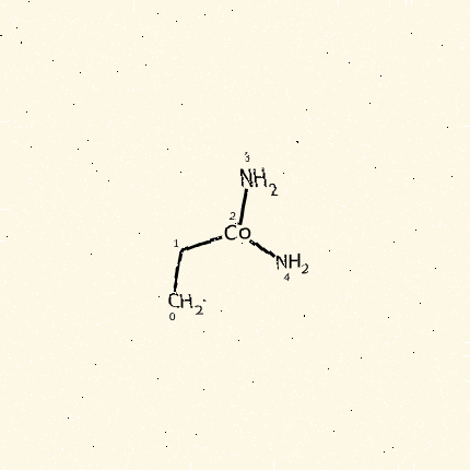 [CH2][CH2][Co]([NH2])[NH2]